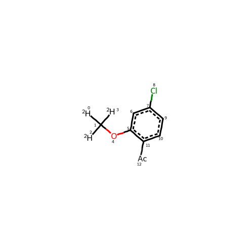 [2H]C([2H])([2H])Oc1cc(Cl)ccc1C(C)=O